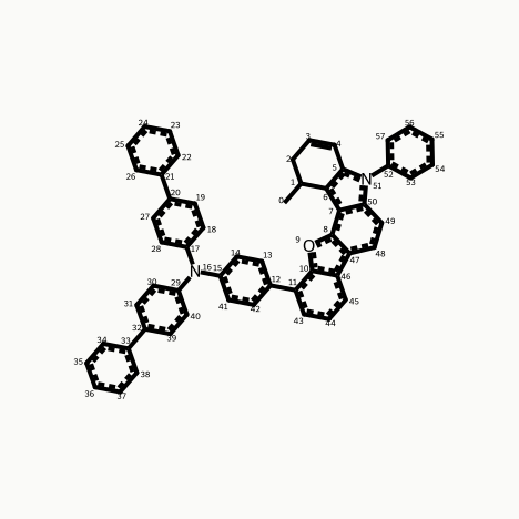 CC1CC=Cc2c1c1c3oc4c(-c5ccc(N(c6ccc(-c7ccccc7)cc6)c6ccc(-c7ccccc7)cc6)cc5)cccc4c3ccc1n2-c1ccccc1